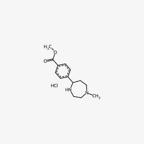 COC(=O)c1ccc(C2CCN(C)CCN2)cc1.Cl